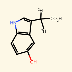 [2H]C([2H])(C(=O)O)c1c[nH]c2ccc(O)cc12